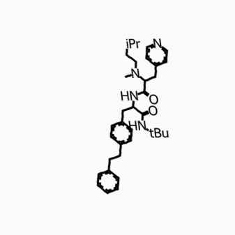 CC(C)CCN(C)C(Cc1ccncc1)C(=O)NC(Cc1ccc(CCc2ccccc2)cc1)C(=O)NC(C)(C)C